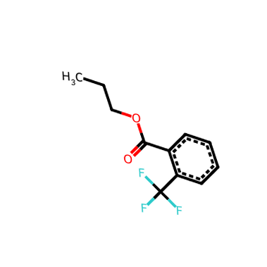 CCCOC(=O)c1ccccc1C(F)(F)F